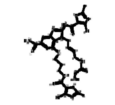 CCc1nc(C)oc1C(=O)Nc1nc2cc(C(N)=O)cc(OCCCOC(=O)c3oc(C)nc3CC)c2n1CC=CCNC(=O)OC(C)(C)C